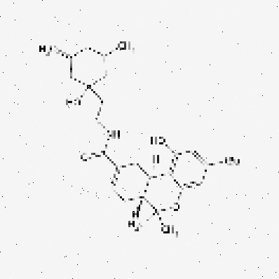 C=C1CC(C)CC(O)(CCNC(=O)C2=CC[C@@H]3[C@@H](C2)c2c(O)cc(C(C)(C)C)cc2OC3(C)C)C1